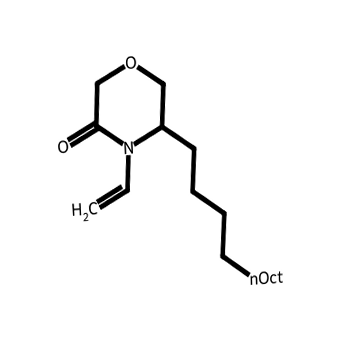 C=CN1C(=O)COCC1CCCCCCCCCCCC